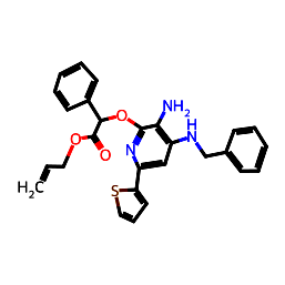 C=CCOC(=O)C(Oc1nc(-c2cccs2)cc(NCc2ccccc2)c1N)c1ccccc1